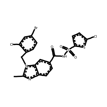 Cc1nc2ccc(C(=O)NS(=O)(=O)c3ccc(Cl)s3)cc2n1Cc1ccc(Br)cc1Cl